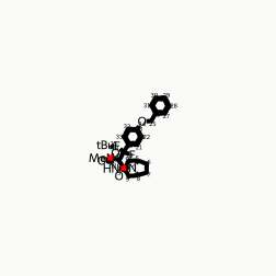 CNC(C(=O)N1C2CCC1CC(NC(=O)OC(C)(C)C)C2)C(F)(F)c1ccc(OCc2ccccc2)cc1